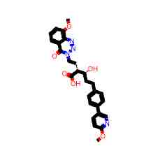 COc1ccc(-c2ccc(CC[C@@H](O)[C@@H](CCn3nnc4c(OC)cccc4c3=O)C(=O)O)cc2)cn1